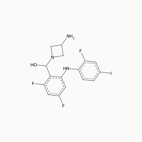 NC1CN(C(O)c2c(F)cc(F)cc2Nc2ccc(I)cc2F)C1